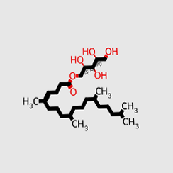 CC(=CCCC(=O)OC[C@H](O)[C@@H](O)[C@H](O)CO)CCCC(C)CCCC(C)CCCC(C)C